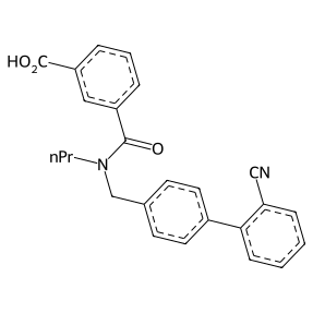 CCCN(Cc1ccc(-c2ccccc2C#N)cc1)C(=O)c1cccc(C(=O)O)c1